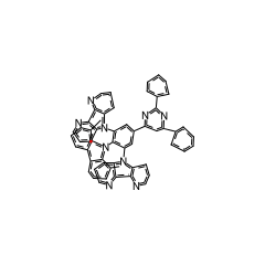 Cc1cccc2c3cccc(C)c3n(-c3c(-n4c5cccnc5c5ncccc54)cc(-c4cc(-c5ccccc5)nc(-c5ccccc5)n4)cc3-n3c4cccnc4c4ncccc43)c12